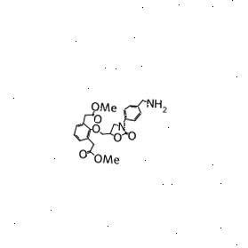 COC(=O)Cc1cccc(CC(=O)OC)c1OCC1CN(c2ccc(CN)cc2)C(=O)O1